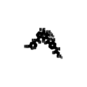 CCC(=O)Nc1ccc(C(=O)NC(C(=O)N2C(CC)CCC2C(=O)NC(C=O)CC(=O)O)C(C)(C)C)c(Cl)c1